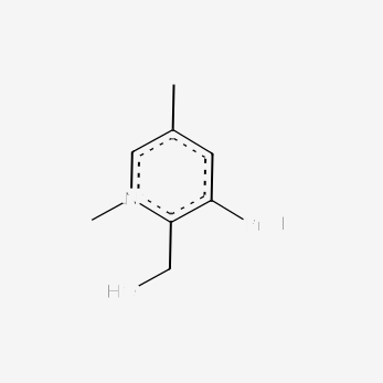 Cc1cc(Br)c(CO)[n+](C)c1.[I-]